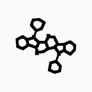 c1ccc(-n2c3ccccc3c3cnc4c(cnc5c6ccccc6n(-c6ccccc6)c54)c32)cc1